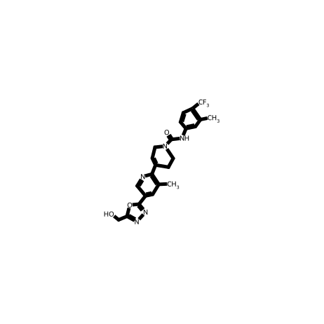 Cc1cc(NC(=O)N2CC=C(c3ncc(-c4nnc(CO)o4)cc3C)CC2)ccc1C(F)(F)F